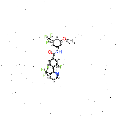 COc1cc(NC(=O)c2ccc(-c3ncccc3C(F)(F)F)c(F)c2)cc(C(F)(F)F)c1